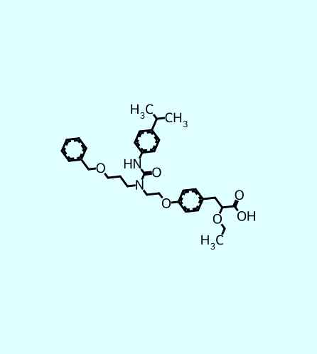 CCOC(Cc1ccc(OCCN(CCCOCc2ccccc2)C(=O)Nc2ccc(C(C)C)cc2)cc1)C(=O)O